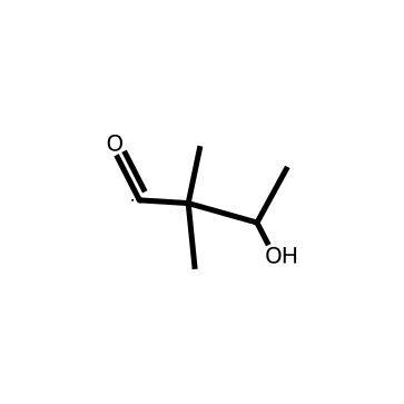 CC(O)C(C)(C)[C]=O